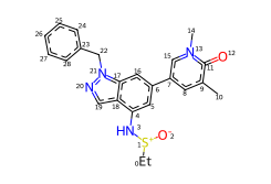 CC[S+]([O-])Nc1cc(-c2cc(C)c(=O)n(C)c2)cc2c1cnn2Cc1ccccc1